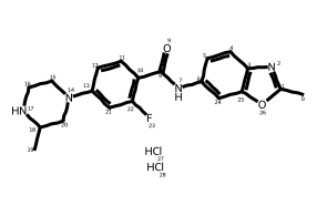 Cc1nc2ccc(NC(=O)c3ccc(N4CCNC(C)C4)cc3F)cc2o1.Cl.Cl